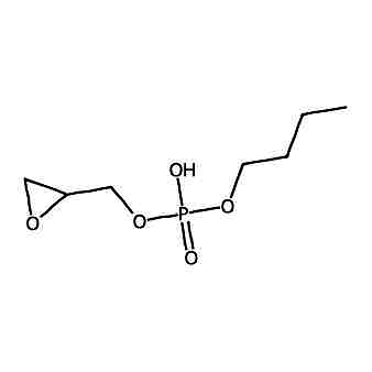 CCCCOP(=O)(O)OCC1CO1